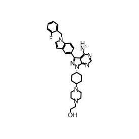 Nc1ncnc2c1c(-c1ccc3c(ccn3Cc3ccccc3F)c1)nn2[C@H]1CC[C@H](N2CCN(CCO)CC2)CC1